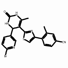 CC1=C(c2nc(-c3ccc(C#N)cc3C)cs2)C(c2ccc(Br)nc2)NC(=O)N1